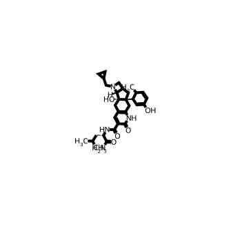 CC(C)C[C@H](NC(=O)c1cc2c([nH]c1=O)C[C@@]1(C3C=C(O)C=CC3C)CC3CN(CC4CC4)[C@H]3[C@]1(O)C2)C(N)=O